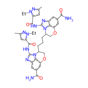 CCn1nc(C)cc1C(=O)Nc1nc2cc(C(N)=O)cc3c2n1C(CCCC1COc2cc(C(N)=O)cc4nc(NC(=O)c5cc(C)nn5CC)n1c24)CO3